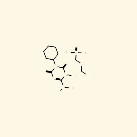 CN(C)c1nc(=O)n(C2CCCCC2)c(=O)n1C.O=C(O)CNCP(=O)(O)O